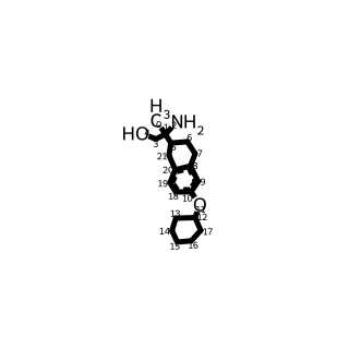 CC(N)(CO)C1CCc2cc(OC3CCCCC3)ccc2C1